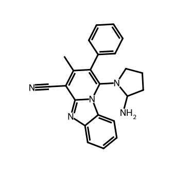 Cc1c(-c2ccccc2)c(N2CCCC2N)n2c(nc3ccccc32)c1C#N